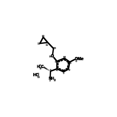 COc1ccc([C@@H](C)N)c(OCC2CC2)c1.Cl